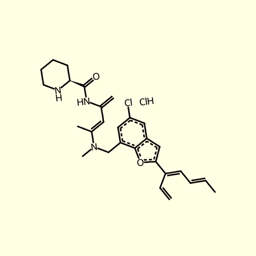 C=CC(=CC=CC)c1cc2cc(Cl)cc(CN(C)C(C)=CC(=C)NC(=O)[C@@H]3CCCCN3)c2o1.Cl